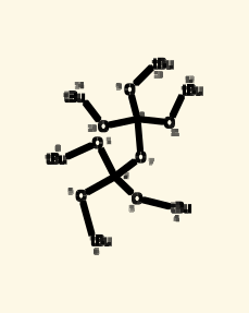 CC(C)(C)OC(OC(C)(C)C)(OC(C)(C)C)OC(OC(C)(C)C)(OC(C)(C)C)OC(C)(C)C